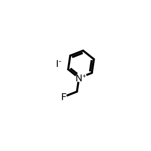 FC[n+]1ccccc1.[I-]